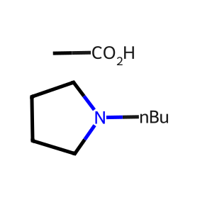 CC(=O)O.CCCCN1CCCC1